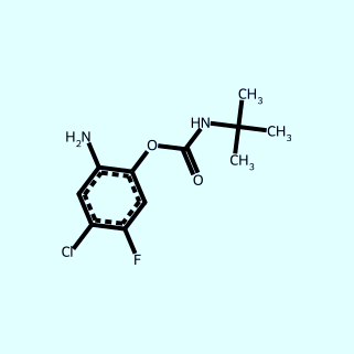 CC(C)(C)NC(=O)Oc1cc(F)c(Cl)cc1N